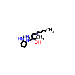 CCCC/C=C/C=C\C(CNC1CCCC[C@@H]1NC)=C(/C)O